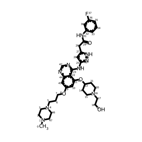 CN1CCN(CCCOc2cc(OC3CCN(CCO)CC3)c3c(Nc4cc(CC(=O)Nc5cccc(F)c5)[nH]n4)ncnc3c2)CC1